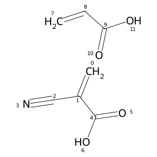 C=C(C#N)C(=O)O.C=CC(=O)O